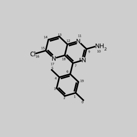 Cc1ccc(C)c(-c2nc(N)nc3ccc(Cl)nc23)c1